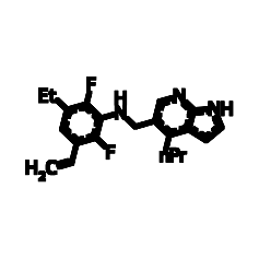 C=Cc1cc(CC)c(F)c(NCc2cnc3[nH]ccc3c2CCC)c1F